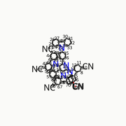 N#Cc1ccc2c(c1)c1cc(C#N)ccc1n2-c1nc(-c2ccc(-n3c4ccccc4c4ccccc43)cc2)c(-n2c3ccc(C#N)cc3c3cc(C#N)ccc32)c(-c2ccccc2)c1-n1c2ccc(C#N)cc2c2cc(C#N)ccc21